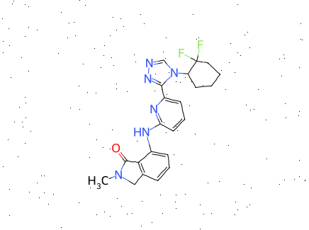 CN1Cc2cccc(Nc3cccc(-c4nncn4C4CCCCC4(F)F)n3)c2C1=O